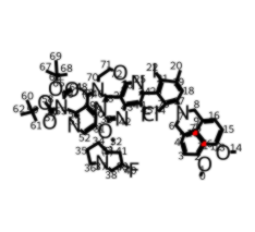 COc1ccc(CN(Cc2ccc(OC)cc2)c2cc(C)c(I)c(-c3nc4c5c(nc(OC[C@@]67CCCN6C[C@H](F)C7)nc5c3F)N([C@H](C)c3cccnc3N(C(=O)OC(C)(C)C)C(=O)OC(C)(C)C)CCO4)c2Cl)cc1